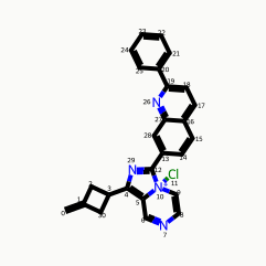 C=C1CC(C2=C3C=NC=C[N+]3(Cl)C(c3ccc4ccc(-c5ccccc5)nc4c3)=N2)C1